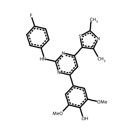 COc1cc(-c2cc(-c3sc(C)nc3C)nc(Nc3ccc(F)cc3)n2)cc(OC)c1O